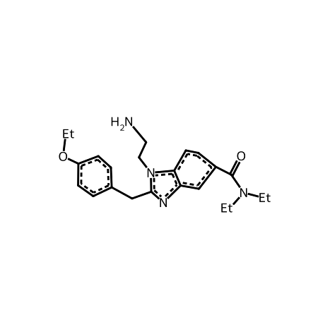 CCOc1ccc(Cc2nc3cc(C(=O)N(CC)CC)ccc3n2CCN)cc1